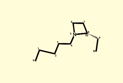 CCCCCN1CC[C@@H]1CC